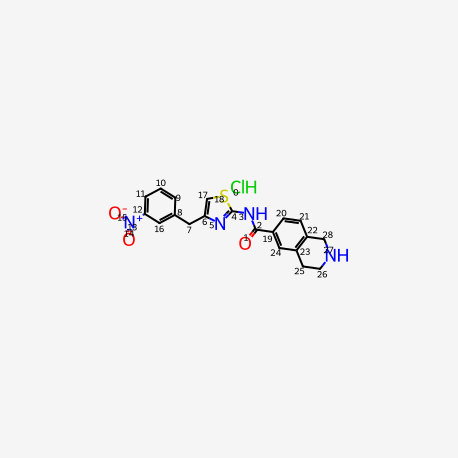 Cl.O=C(Nc1nc(Cc2cccc([N+](=O)[O-])c2)cs1)c1ccc2c(c1)CCNC2